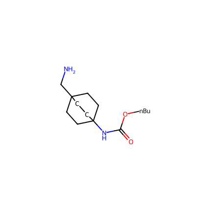 CCCCOC(=O)NC12CCC(CN)(CC1)CC2